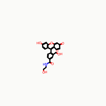 O=C(NCCO)c1ccc(-c2c3ccc(=O)cc-3oc3cc(O)ccc23)c(C(=O)O)c1